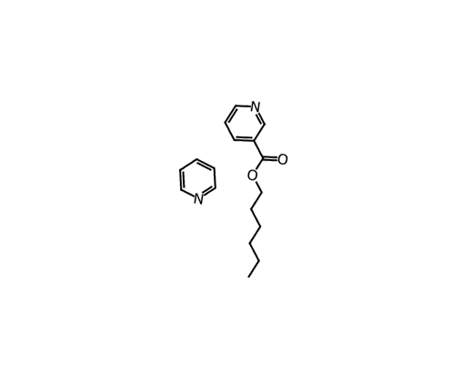 CCCCCCOC(=O)c1cccnc1.c1ccncc1